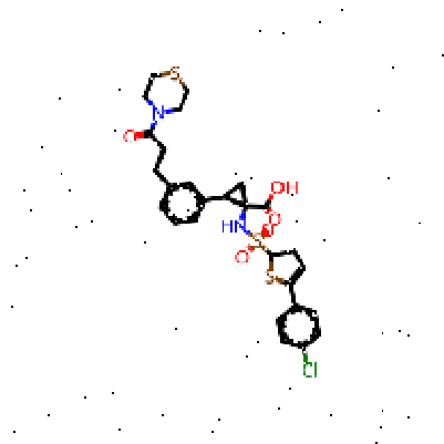 O=C(CCc1cccc(C2CC2(NS(=O)(=O)C2CC=C(c3ccc(Cl)cc3)S2)C(=O)O)c1)N1CCSCC1